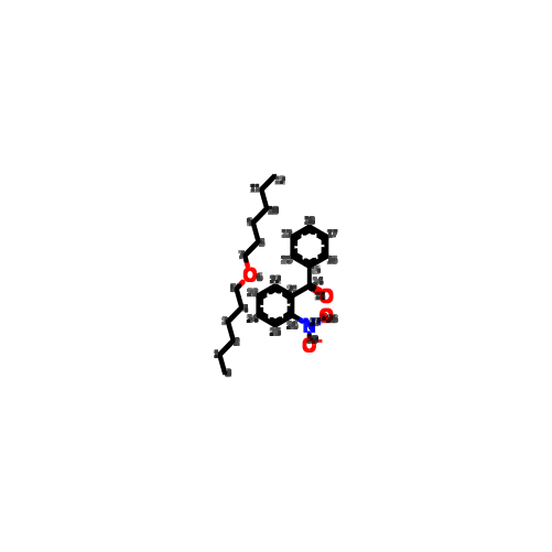 CCCCCCOCCCCCC.O=C(c1ccccc1)c1ccccc1[N+](=O)[O-]